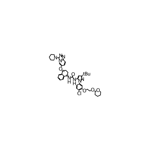 CC(C)(C)c1cc(NC(=O)N[C@H]2CC[C@@H](Oc3ccc4nnc(N5CCCCC5)n4c3)c3ccccc32)n(-c2ccc(Cl)c(OCCOC3CCCCO3)c2)n1